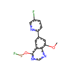 COc1cc(-c2ccc(F)cn2)cc2c(OSF)ncnc12